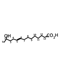 CC(O)CCC=CCCCCCCCC(=O)O